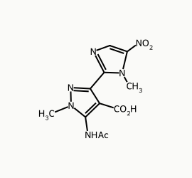 CC(=O)Nc1c(C(=O)O)c(-c2ncc([N+](=O)[O-])n2C)nn1C